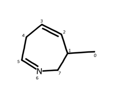 CC1C=CCC=NC1